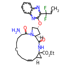 C=CC(F)(F)c1nc2ccccc2nc1O[C@@H]1C[C@H]2C(=O)N[C@]3(C(=O)OCC)C[C@H]3/C=C\CCCCC[C@H](N)C(=O)N2C1